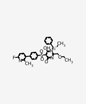 CCOCc1nc(=O)c(S(=O)(=O)c2ccc(-c3ccc(F)nc3C)cc2)c(O)n1[C@@H](CC)c1ccccc1